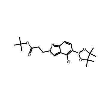 CC(C)(C)OC(=O)CCn1cc2c(Cl)c(B3OC(C)(C)C(C)(C)O3)ccc2n1